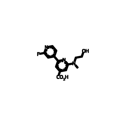 CN(CCO)c1cc(C(=O)O)cc(-c2ccnc(F)c2)n1